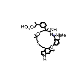 CN/C1=N\C(=N)C(C)(c2cccc(C(C)CC(=O)O)c2)CCOC(C)(C)CSCCc2c(c(F)cc3[nH]ccc23)Oc2ccc(F)c1c2